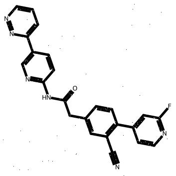 N#Cc1cc(CC(=O)Nc2ccc(-c3cccnn3)cn2)ccc1-c1ccnc(F)c1